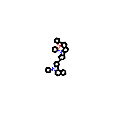 c1ccc(-n2c3ccc(-c4ccc5c6ccc7ccc8c9ccccc9oc8c7c6n(-c6ccccc6)c5c4)cc3c3c4ccccc4ccc32)cc1